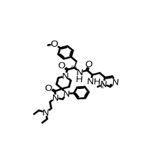 CCN(CC)CCN1CN(c2ccccc2)C2(CCN(C(=O)[C@@H](Cc3ccc(OC)cc3)NC(=O)C(N)Cc3cncn3C)CC2)C1=O